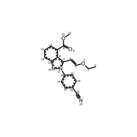 CCOC=Cc1c2c(C(=O)OC)cccc2nn1-c1ccc(C#N)cc1